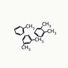 Cc1cccc(C)c1.Cc1ccccc1.Cc1ccccc1C